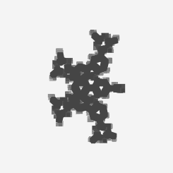 Cc1nc(C)nc(-c2ccc3c(c2)c2cc(-c4nc(C)nc(C)n4)ccc2n3-c2cc(C#N)cc(-n3c4ccc(-c5nc(C)nc(C)n5)cc4c4cc(-c5nc(C)nc(C)n5)ccc43)c2-c2cc(C(F)(F)F)cc(C(F)(F)F)c2)n1